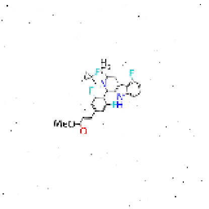 COC(=O)/C=C/c1cc(F)c(C2c3[nH]c4cccc(F)c4c3CC(C)N2CC2(F)CC2)c(F)c1